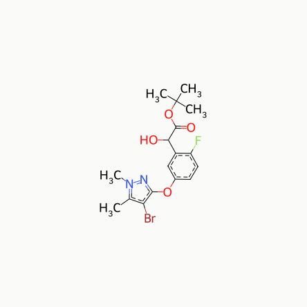 Cc1c(Br)c(Oc2ccc(F)c(C(O)C(=O)OC(C)(C)C)c2)nn1C